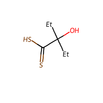 CCC(O)(CC)C(=S)S